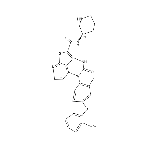 Cc1cc(Oc2ccccc2C(C)C)ccc1N1C(=O)Nc2c(C(=O)N[C@@H]3CCCNC3)sc3nccc1c23